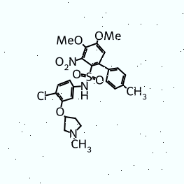 COc1cc(-c2ccc(C)cc2)c(S(=O)(=O)Nc2ccc(Cl)c(OC3CCN(C)C3)c2)c([N+](=O)[O-])c1OC